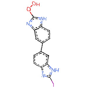 OOc1nc2cc(-c3ccc4nc(I)[nH]c4c3)ccc2[nH]1